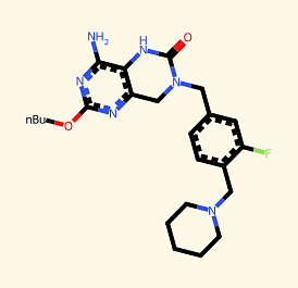 CCCCOc1nc(N)c2c(n1)CN(Cc1ccc(CN3CCCCC3)c(F)c1)C(=O)N2